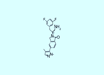 Cc1cnn(C)c1-c1ccc2c(c1)CN([C@H](CN)Cc1cc(F)cc(F)c1)C2=O